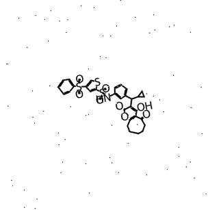 O=C1CCCCCc2oc(=O)c(C(c3cccc(NS(=O)(=O)c4cc(S(=O)(=O)c5ccccc5)cs4)c3)C3CC3)c(O)c21